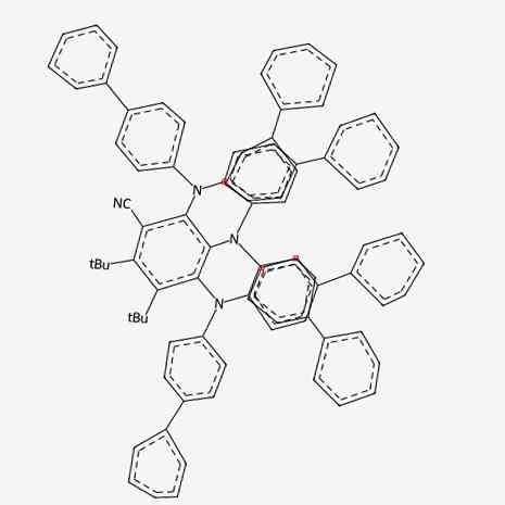 CC(C)(C)c1c(C#N)c(N(c2ccc(-c3ccccc3)cc2)c2ccc(-c3ccccc3)cc2)c(N(c2ccc(-c3ccccc3)cc2)c2ccc(-c3ccccc3)cc2)c(N(c2ccc(-c3ccccc3)cc2)c2ccc(-c3ccccc3)cc2)c1C(C)(C)C